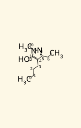 CCCCc1c(CC)nn(C)c1O